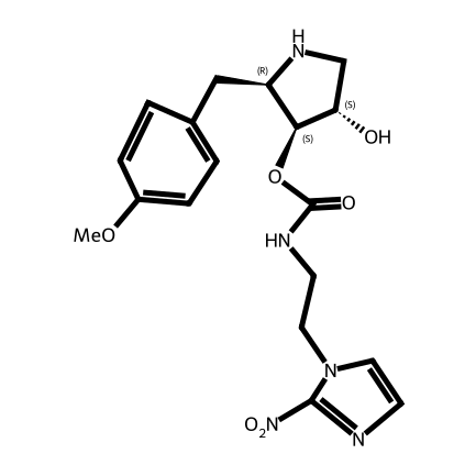 COc1ccc(C[C@H]2NC[C@H](O)[C@H]2OC(=O)NCCn2ccnc2[N+](=O)[O-])cc1